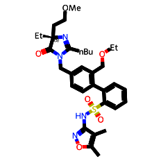 CCCCC1=N[C@@](CC)(CCOC)C(=O)N1Cc1ccc(-c2ccccc2S(=O)(=O)Nc2noc(C)c2C)c(COCC)c1